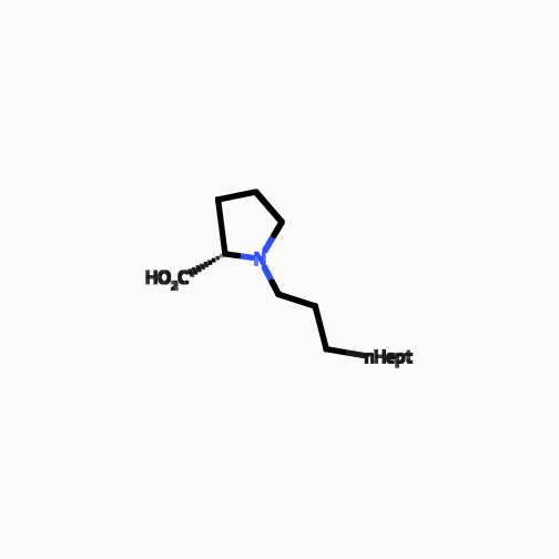 CCCCCCCCCCN1CCC[C@H]1C(=O)O